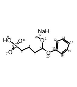 COC(CCCS(=O)(=O)O)Oc1ccccc1.[NaH]